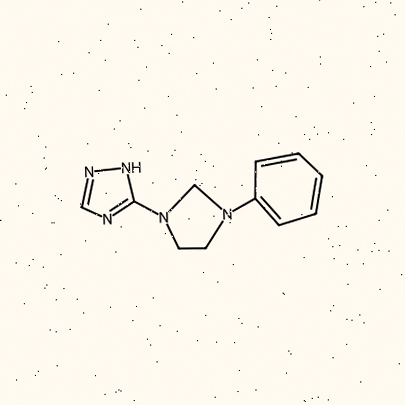 c1ccc(N2CCN(c3ncn[nH]3)C2)cc1